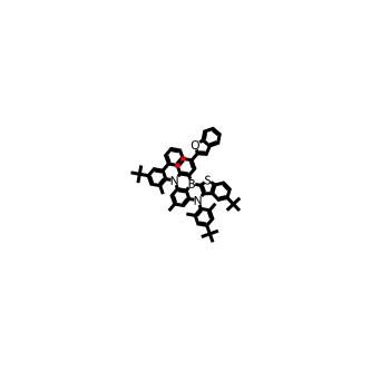 Cc1cc2c3c(c1)N(c1c(C)cc(C(C)(C)C)cc1C)c1c(sc4ccc(C(C)(C)C)cc14)B3c1cc(-c3cc4ccccc4o3)ccc1N2c1c(C)cc(C(C)(C)C)cc1-c1ccccc1